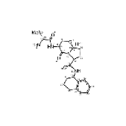 CN[C@@H](N)C(=O)N[C@H]1CO[C@H]2CCC(C(=O)NC3CCCc4ccccc43)N2C1=O